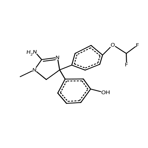 CN1CC(c2ccc(OC(F)F)cc2)(c2cccc(O)c2)N=C1N